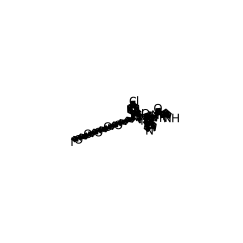 O=C(c1cc[nH]n1)N1CC2(C1)C(=O)N(Cc1nc3cc(Cl)ccc3n1CCCCOCCOCCOCCOCCOCI)c1cnccc12